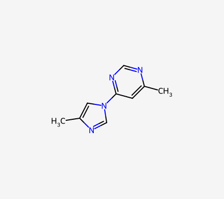 Cc1cc(-n2cnc(C)c2)ncn1